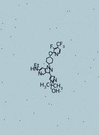 CCNc1cc2c(cn1)c(-c1cnn(C(C)(C)CO)c1)nn2C1CCC(Oc2nccc(C(F)(F)F)c2F)CC1